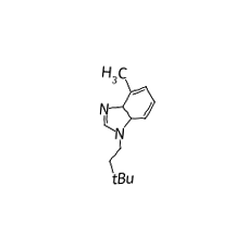 CC1=CC=CC2C1N=CN2CCC(C)(C)C